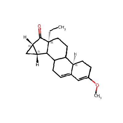 CC[C@]12CCC3C(CC=C4C=C(OC)CC[C@@H]43)C1[C@@H]1C[C@@H]1C2=O